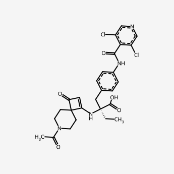 CC[C@@](Cc1ccc(NC(=O)c2c(Cl)cncc2Cl)cc1)(NC1=CC(=O)C12CCN(C(C)=O)CC2)C(=O)O